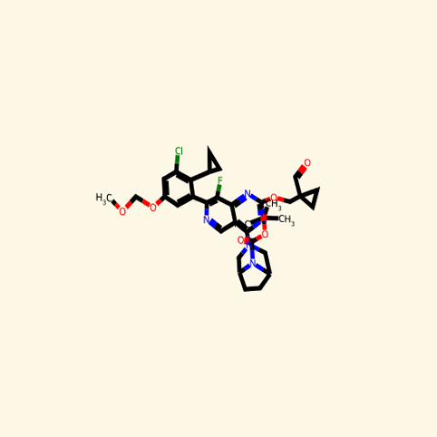 COCOc1cc(Cl)c(C2CC2)c(-c2ncc3c(N4CC5CCC(C4)N5C(=O)OC(C)(C)C)nc(OCC4(C=O)CC4)nc3c2F)c1